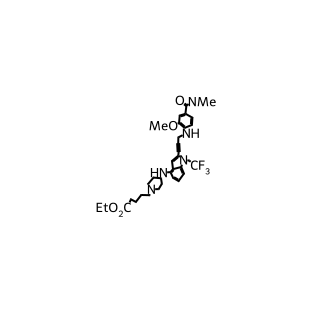 CCOC(=O)CCCCN1CCC(Nc2cccc3c2cc(C#CCNc2ccc(C(=O)NC)cc2OC)n3CC(F)(F)F)CC1